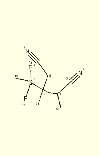 CC(C#N)C(C)(CC#N)S(C)(F)F